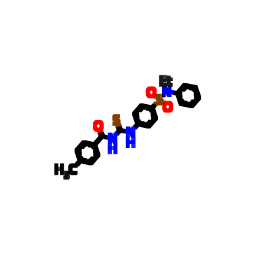 CCN(c1ccccc1)S(=O)(=O)c1ccc(NC(=S)NC(=O)c2ccc(C)cc2)cc1